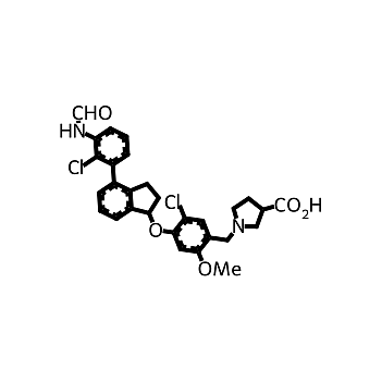 COc1cc(OC2CCc3c(-c4cccc(NC=O)c4Cl)cccc32)c(Cl)cc1CN1CCC(C(=O)O)C1